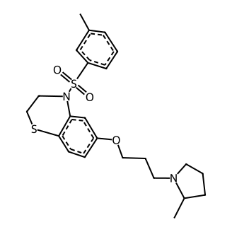 Cc1cccc(S(=O)(=O)N2CCSc3ccc(OCCCN4CCCC4C)cc32)c1